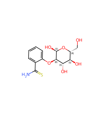 NC(=S)c1ccccc1O[C@@H]1[C@@H](O)[C@H](O)[C@@H](CO)O[C@@H]1O